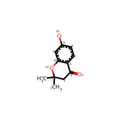 CC1(C)CC(=O)c2ccc([O])cc2O1